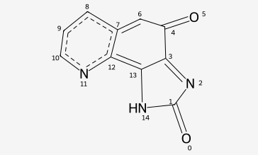 O=C1N=C2C(=O)C=c3cccnc3=C2N1